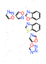 c1ccc2ocnc2c1.c1ccc2scnc2c1.c1cnoc1.c1cocn1.c1conn1.c1nnno1